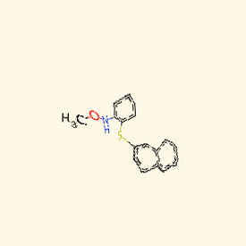 CONc1ccccc1Sc1ccc2ccccc2c1